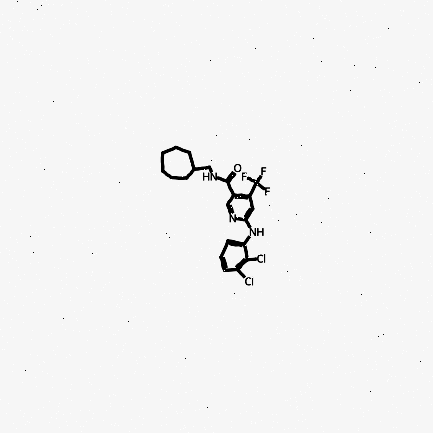 O=C(NCC1CCCCCC1)c1cnc(Nc2cccc(Cl)c2Cl)cc1C(F)(F)F